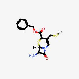 CCSCC1=CN2C(=O)C(N)[C@H]2SC1C(=O)OCc1ccccc1